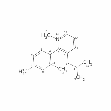 Cc1ccc(-c2c(CC(C)C)ccc[n+]2C)c(C)c1